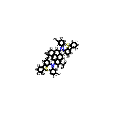 Cc1cccc(N(c2cc(C(C)C)c3ccc4c(N(c5cccc(C)c5)c5cccc6c5sc5ccccc56)cc5c6c(cc2c3c46)C(C)(C)CC5)c2cccc3c2sc2ccccc23)c1